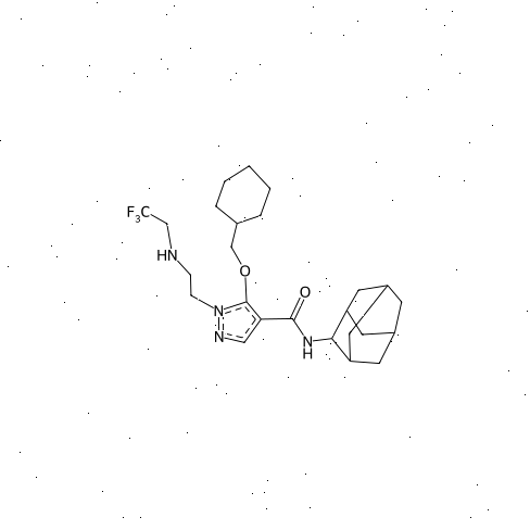 O=C(NC1C2CC3CC(C2)CC1C3)c1cnn(CCNCC(F)(F)F)c1OCC1CCCCC1